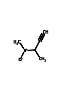 C#CC(C)[S+](C)[O-]